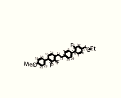 CCOCc1ccc(-c2ccc(CCc3ccc(-c4ccc(OC)cc4)c(F)c3F)cc2)c(F)c1